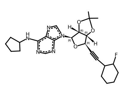 CC1(C)O[C@@H]2[C@H](O1)[C@@H](C#CC1CCCCC1F)O[C@H]2n1cnc2c(NC3CCCC3)ncnc21